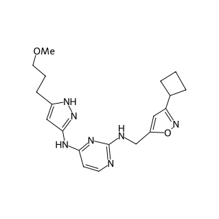 COCCCc1cc(Nc2ccnc(NCc3cc(C4CCC4)no3)n2)n[nH]1